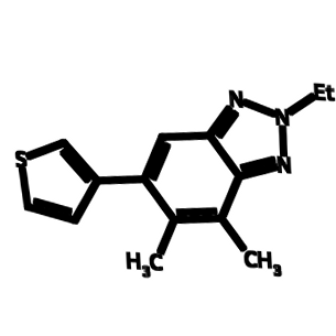 CCn1nc2cc(-c3ccsc3)c(C)c(C)c2n1